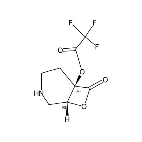 O=C(O[C@]12CCNC[C@H]1OC2=O)C(F)(F)F